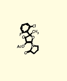 CC(=O)OC1=C(N2CCCC2=O)OC(C)(c2c(F)cccc2Cl)C1=O